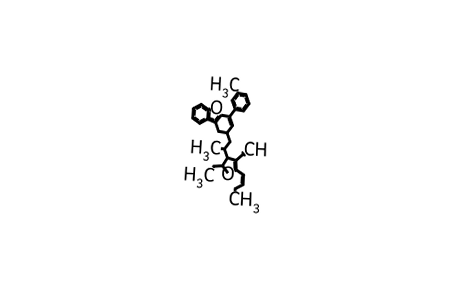 C#CC1=C(/C=C\CC)OC(CC)C1C(C)CC1C=C(c2cccc(C)c2)c2oc3ccccc3c2C1